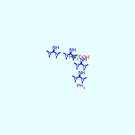 CN(C)C(=N)N(C)C.CN(C)C(=N)N(C)C.CN(C)C(=N)N(C)C.CN(C)C(=N)N(C)C.O=C(O)O.P